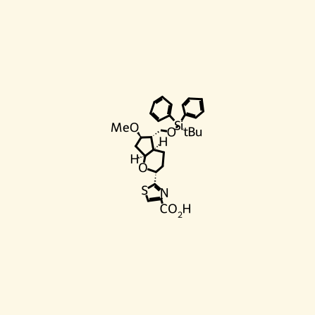 CO[C@@H]1C[C@@H]2O[C@@H](c3nc(C(=O)O)cs3)CC[C@@H]2[C@H]1CO[Si](c1ccccc1)(c1ccccc1)C(C)(C)C